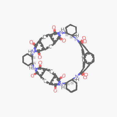 O=C1c2ccc3c4c5ccc(c24)C(=O)N1[C@H]1CCCC[C@@H]1n1c(=O)c2cc4c(=O)n(c(=O)c4cc2c1=O)[C@H]1CCCC[C@@H]1n1c(=O)c2cc4c(=O)n(c(=O)c4cc2c1=O)[C@H]1CCCC[C@@H]1N(C3=O)C5=O